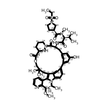 CCn1c(-c2cccnc2[C@H](C)OC)c2c3cc(ccc31)-c1cc(O)cc(c1)C[C@H](NC(=O)[C@H](C(C)C)N(C)C(=O)[C@H]1CCN(S(=O)(=O)CC)C1)C(=O)N1CCC[C@H](N1)C(=O)OCC(C)(C)C2